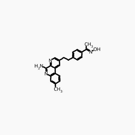 C/C(=N\O)c1ccc(CCc2cnc3c(N)nc4cc(C)ccc4c3c2)cc1